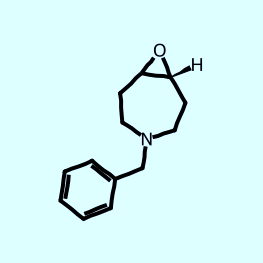 c1ccc(CN2CCC3O[C@@H]3CC2)cc1